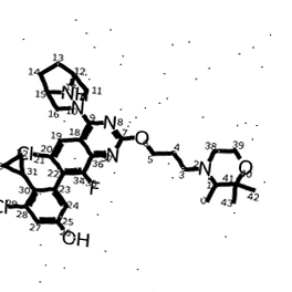 CC1N(CCCOc2nc(N3CC4CCC(C3)N4)c3cc(Cl)c(-c4cc(O)cc(Cl)c4C4CC4)c(F)c3n2)CCOC1(C)C